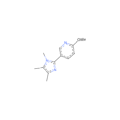 COc1ccc(-c2nc(C)c(C)n2C)cn1